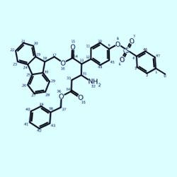 Cc1ccc(S(=O)(=O)Oc2ccc(C(C(=O)OCC3c4ccccc4-c4ccccc43)C(N)CC(=O)OCc3ccccc3)cc2)cc1